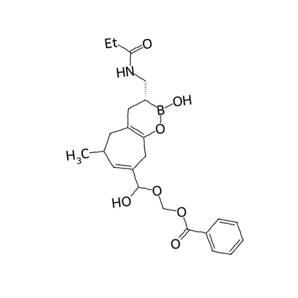 CCC(=O)NC[C@H]1CC2=C(CC(C(O)OCOC(=O)c3ccccc3)=CC(C)C2)OB1O